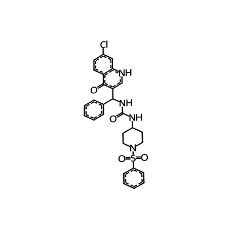 O=C(NC1CCN(S(=O)(=O)c2ccccc2)CC1)NC(c1ccccc1)c1c[nH]c2cc(Cl)ccc2c1=O